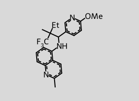 CCC(C)(C(Nc1cccc2nc(C)ccc12)c1ccc(OC)nc1)C(F)(F)F